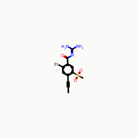 CC#Cc1cc(CC)c(C(=O)N=C(N)N)cc1S(C)(=O)=O